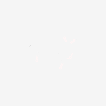 COC(=O)c1ccc2c(c1)C(=O)OCS2(=O)=O